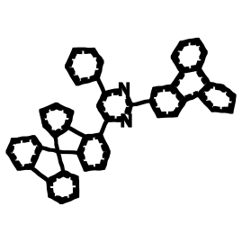 c1ccc(-c2cc(-c3cccc4c3-c3ccccc3C43c4ccccc4-c4ccccc43)nc(-c3ccc4c5ccccc5c5ccccc5c4c3)n2)cc1